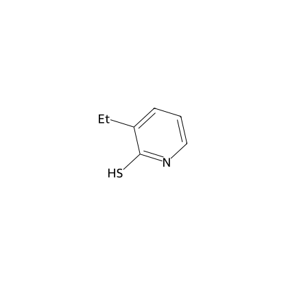 CCc1cccnc1S